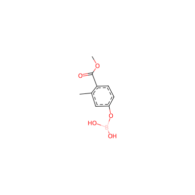 COC(=O)c1ccc(OB(O)O)cc1C